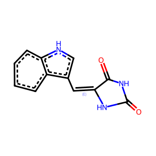 O=C1NC(=O)/C(=C\c2c[nH]c3ccccc23)N1